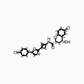 O=C(NC12CC(c3ncc(-c4ccc(Cl)cc4)o3)(C1)C2)[C@H]1C[C@@H](O)c2cc(Cl)ccc2O1